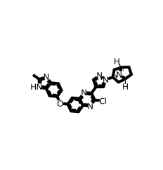 Cc1nc2ccc(Oc3ccc4nc(Cl)c(-c5cnn(C6C[C@H]7CC[C@@H](C6)N7C)c5)nc4c3)cc2[nH]1